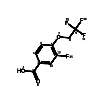 O=C(O)c1ccc(OCC(F)(F)F)c(F)c1